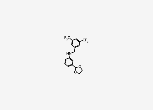 FC(F)(F)c1cc(CNc2cccc(C3OCCO3)c2)cc(C(F)(F)F)c1